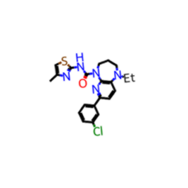 CCN1CCCN(C(=O)Nc2nc(C)cs2)c2nc(-c3cccc(Cl)c3)ccc21